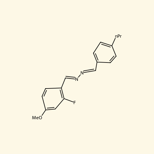 CCCc1ccc(/C=N/N=C/c2ccc(OC)cc2F)cc1